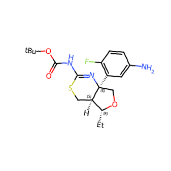 CC[C@H]1OC[C@]2(c3cc(N)ccc3F)N=C(NC(=O)OC(C)(C)C)SC[C@H]12